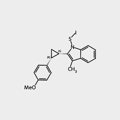 COc1ccc([C@@H]2C[C@@H]2c2c(C)c3ccccc3n2SI)cc1